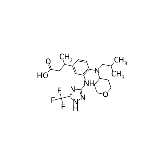 CC(C)CN(c1ccc(C(C)CC(=O)O)cc1Nc1n[nH]c(C(F)(F)F)n1)C1CCOCC1